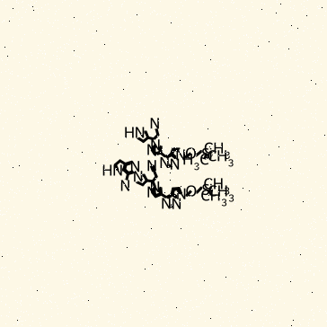 C[Si](C)(C)CCOCn1ccc2c(-c3cnn(C(CC#N)C4CCN(c5ncc6c(c5C#N)NCC6)C4)c3)ncnc21.C[Si](C)(C)CCOCn1ccc2c(-c3cnn(C(CC#N)C4CCNC4)c3)ncnc21